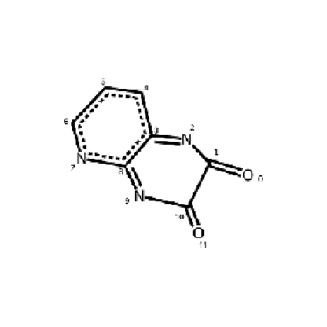 O=C1N=c2cccnc2=NC1=O